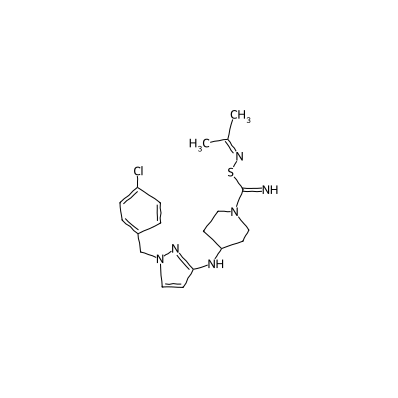 CC(C)=NSC(=N)N1CCC(Nc2ccn(Cc3ccc(Cl)cc3)n2)CC1